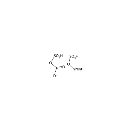 CCC(=O)OS(=O)(=O)O.CCCCCOS(=O)(=O)O